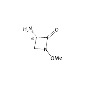 CON1C[C@H](N)C1=O